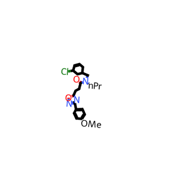 CCCN(CC1CC=CC(Cl)C1)C(=O)CCc1nc(-c2ccc(OC)cc2)no1